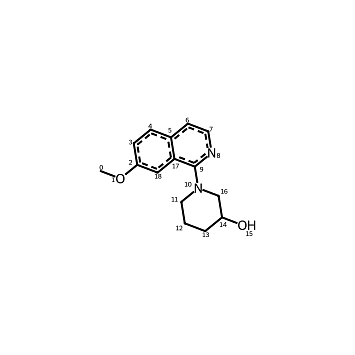 COc1ccc2ccnc(N3CCCC(O)C3)c2c1